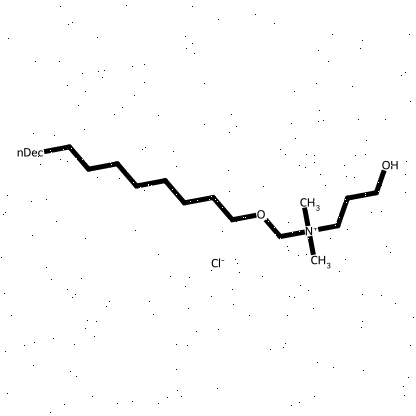 CCCCCCCCCCCCCCCCCCOC[N+](C)(C)CCCO.[Cl-]